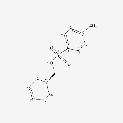 Cc1ccc(S(=O)(=O)OC[C@@H]2CC=CCC2)cc1